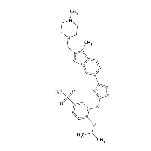 CC(C)Oc1ccc(S(N)(=O)=O)cc1Nc1nc(-c2ccc3c(c2)nc(CN2CCN(C)CC2)n3C)cs1